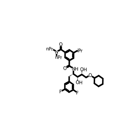 CCCN(CCC)C(=O)c1cc(C(=O)N[C@@H](Cc2cc(F)cc(F)c2)[C@@H](O)[C@H](O)COC2CCCCC2)cc(C(C)C)c1